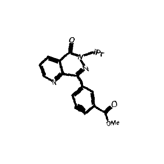 COC(=O)c1cccc(-c2nn(C(C)C)c(=O)c3cccnc23)c1